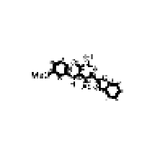 CCn1nc(-c2nc3ccccc3o2)c(C(C)=O)c(Nc2cccc(OC)c2)c1=O